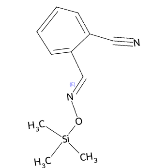 C[Si](C)(C)O/N=C/c1ccccc1C#N